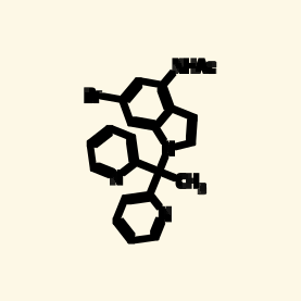 CC(=O)Nc1cc(Br)cc2c1ccn2C(C)(c1ccccn1)c1ccccn1